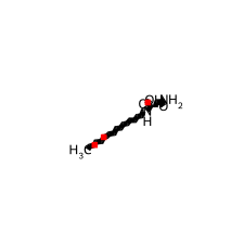 CCCCCCCCCCCCCCCCCCN[C@H](CCC(N)=O)C(=O)O